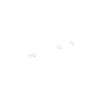 [N]N1CCNCC1